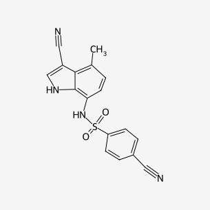 Cc1ccc(NS(=O)(=O)c2ccc(C#N)cc2)c2[nH]cc(C#N)c12